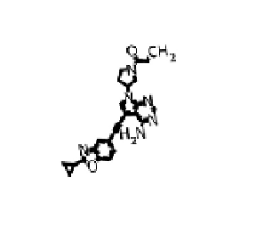 C=CC(=O)N1CCC(n2cc(C#Cc3ccc4oc(C5CC5)nc4c3)c3c(N)ncnc32)C1